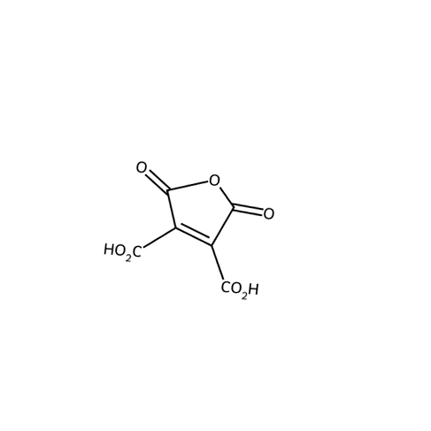 O=C(O)C1=C(C(=O)O)C(=O)OC1=O